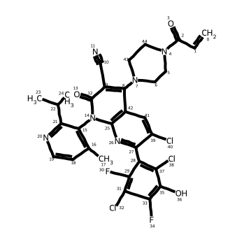 C=CC(=O)N1CCN(c2c(C#N)c(=O)n(-c3c(C)ccnc3C(C)C)c3nc(-c4c(F)c(Cl)c(F)c(O)c4Cl)c(Cl)cc23)CC1